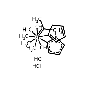 C[C](C)=[Zr]([CH3])([CH3])([CH3])([CH3])([CH3])([CH3])([C]1=CC=CC1)[c]1ccc[nH]1.Cl.Cl